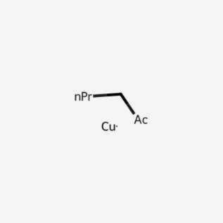 CCCCC(C)=O.[Cu]